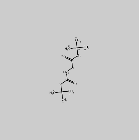 CC(C)(C)CC(=O)NCC(=O)OC(C)(C)C